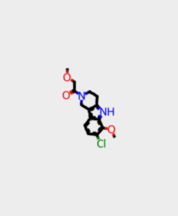 COCC(=O)N1CCc2[nH]c3c(OC)c(Cl)ccc3c2C1